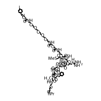 CCCOCCOCCNC(=O)[C@H](C)NC(=O)[C@H](Cc1ccccc1)NC(=O)[C@H](CS)NC(=O)[C@H](CC(=O)O)NC(=O)CNC(=O)[C@H](CCCNC(=N)N)NC(=O)[C@H](CS)NC(=O)[C@H](CCCCNC(=O)COCC(=O)NCCOCCOCCOCCOCCOCCNC(=O)CO/N=C/c1ccc(I)cc1)NC(=O)CSC